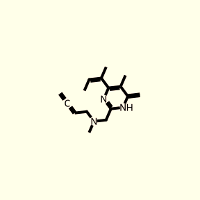 C=C=CCN(C)CC1=NC(/C(C)=C\C)=C(C)C(=C)N1